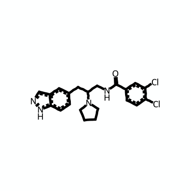 O=C(NCC(Cc1ccc2[nH]ncc2c1)N1CCCC1)c1ccc(Cl)c(Cl)c1